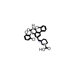 O=C(O)N1CCC/C(=C\c2cc(-c3ccccc3Cl)c3c(c2)N(c2c(Cl)cccc2Cl)C(=O)NC3)C1